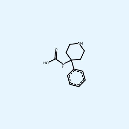 O=C(O)NC1(c2ccccc2)CCNCC1